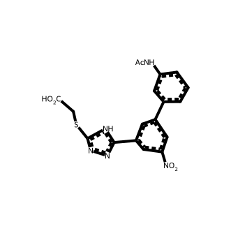 CC(=O)Nc1cccc(-c2cc(-c3nnc(SCC(=O)O)[nH]3)cc([N+](=O)[O-])c2)c1